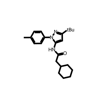 Cc1ccc(-n2nc(C(C)(C)C)cc2NC(=O)CC2CCCCC2)cc1